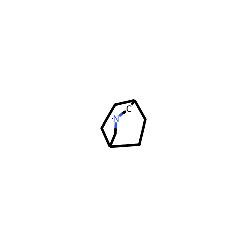 C1CC2CCC1C[N]C2